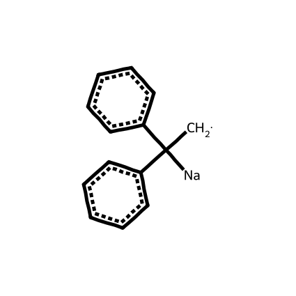 [CH2][C]([Na])(c1ccccc1)c1ccccc1